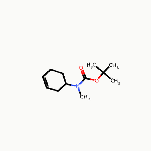 CN(C(=O)OC(C)(C)C)C1CC=CCC1